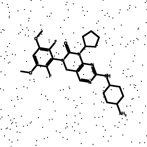 COc1cc(OC)c(F)c(N2Cc3cnc(NC4CCC(N)CC4)nc3N(C3CCCC3)C2=O)c1F